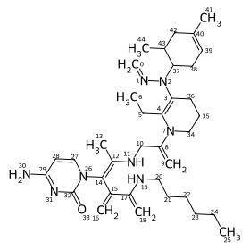 C=NN(C1=C(CC)N(C(=C)CN/C(C)=C(\C(=C)C(=C)NCCCCCC)n2ccc(N)nc2=O)CCC1)C1CC=C(C)CC1C